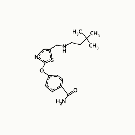 CC(C)(C)CCNCc1cnc(Oc2ccc(C(N)=O)cc2)s1